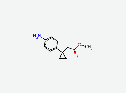 COC(=O)CC1(c2ccc(N)cc2)CC1